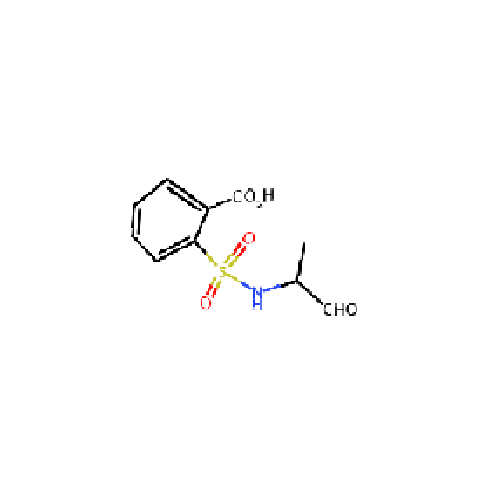 CC(C=O)NS(=O)(=O)c1ccccc1C(=O)O